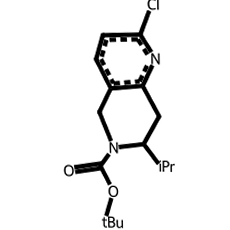 CC(C)C1Cc2nc(Cl)ccc2CN1C(=O)OC(C)(C)C